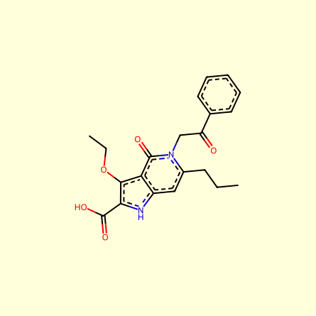 CCCc1cc2[nH]c(C(=O)O)c(OCC)c2c(=O)n1CC(=O)c1ccccc1